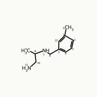 Cc1cccc(CNC(C)CN)c1